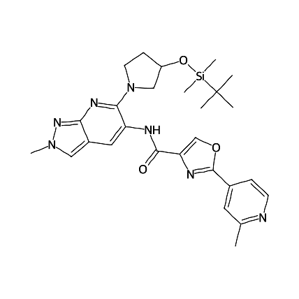 Cc1cc(-c2nc(C(=O)Nc3cc4cn(C)nc4nc3N3CCC(O[Si](C)(C)C(C)(C)C)C3)co2)ccn1